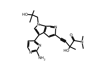 CN(C)C(=O)C(C)(O)C#Cc1cc2c(-c3ccnc(N)n3)cn(CC(C)(C)O)c2cn1